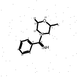 CC1CN(C(=N)c2cc[c]cc2)CC(C)O1